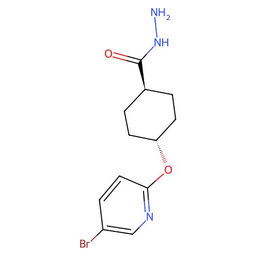 NNC(=O)[C@H]1CC[C@H](Oc2ccc(Br)cn2)CC1